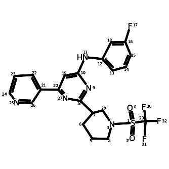 O=S(=O)(N1CCCC(c2nc(Nc3cccc(F)c3)cc(-c3cccnc3)n2)C1)C(F)(F)F